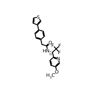 COc1ccc([C@H](NC(=O)Cc2ccc(-c3ccsc3)cc2)C(F)(F)F)nc1